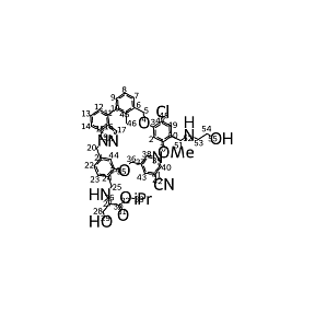 COc1cc(OCc2cccc(-c3cccc4c3cnn4Cc3ccc(CNC(CO)C(=O)OC(C)C)c(OCc4cncc(C#N)c4)c3)c2C)c(Cl)cc1CNCCO